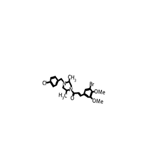 COc1cc(C=CC(=O)N2CC(C)N(Cc3ccc(Cl)cc3)CC2C)cc(Br)c1OC